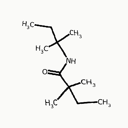 CCC(C)(C)NC(=O)C(C)(C)CC